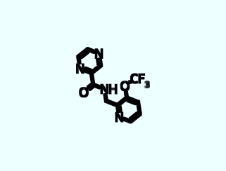 O=C(NCc1ncccc1OC(F)(F)F)c1cnccn1